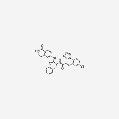 O=C(C=Cc1cc(Cl)ccc1-n1cnnn1)NC(Cc1ccccc1)C(=O)Nc1ccc2c(c1)CCNC2=O